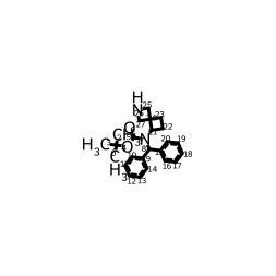 CC(C)(C)OC(=O)N(C(c1ccccc1)c1ccccc1)C1CCC12CNC2